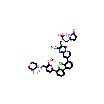 COc1nc(-c2cccc(-c3cccc(-c4ccn5c(=O)c(CN(C[C@@H]6CCC(=O)N6)C(=O)O)c(C)nc5c4)c3Cl)c2Cl)ccc1CN[C@H]1CCOC[C@@H]1O